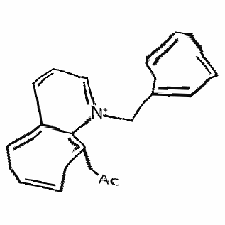 CC(=O)c1cccc2ccc[n+](Cc3ccccc3)c12